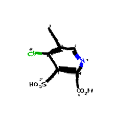 Cc1cnc(C(=O)O)c(S(=O)(=O)O)c1Cl